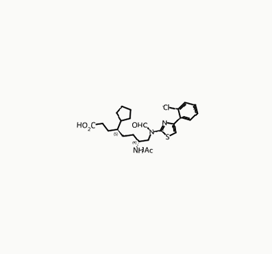 CC(=O)N[C@H](CC[C@@H](CCC(=O)O)C1CCCC1)CN(C=O)c1nc(-c2ccccc2Cl)cs1